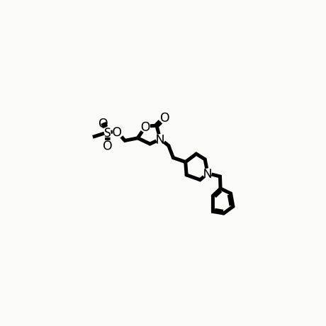 CS(=O)(=O)OCC1CN(CCC2CCN(Cc3ccccc3)CC2)C(=O)O1